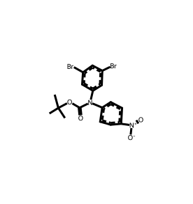 CC(C)(C)OC(=O)N(c1ccc([N+](=O)[O-])cc1)c1cc(Br)cc(Br)c1